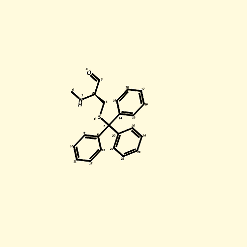 CN[C@@H](C=O)CSC(c1ccccc1)(c1ccccc1)c1ccccc1